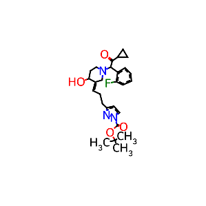 CC(C)(C)OC(=O)n1ccc(CC/C=C2\CN(C(C(=O)C3CC3)c3ccccc3F)CCC2O)n1